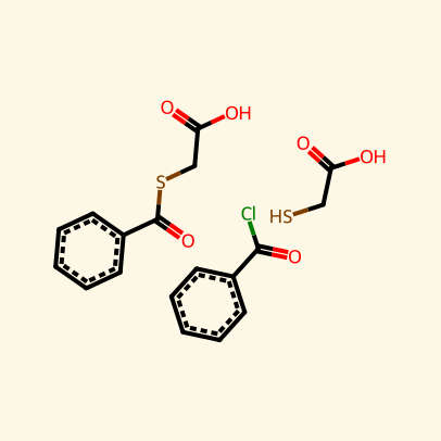 O=C(Cl)c1ccccc1.O=C(O)CS.O=C(O)CSC(=O)c1ccccc1